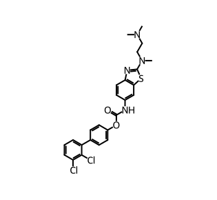 CN(C)CCN(C)c1nc2ccc(NC(=O)Oc3ccc(-c4cccc(Cl)c4Cl)cc3)cc2s1